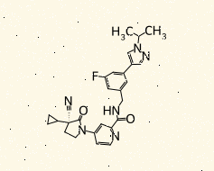 CC(C)n1cc(-c2cc(F)cc(CNC(=O)c3cc(N4CC[C@@](C#N)(C5CC5)C4=O)ccn3)c2)cn1